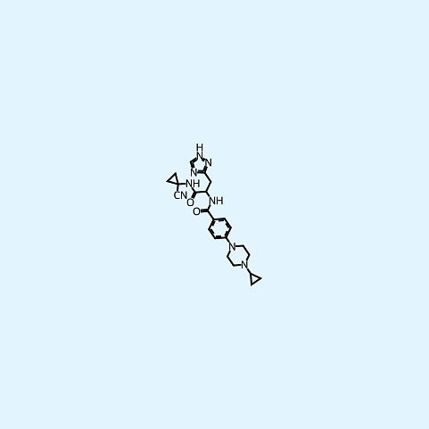 N#CC1(NC(=O)C(Cc2nc[nH]n2)NC(=O)c2ccc(N3CCN(C4CC4)CC3)cc2)CC1